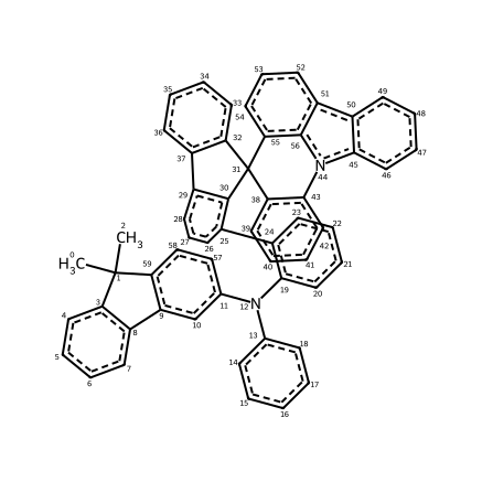 CC1(C)c2ccccc2-c2cc(N(c3ccccc3)c3ccccc3-c3cccc4c3C3(c5ccccc5-4)c4ccccc4-n4c5ccccc5c5cccc3c54)ccc21